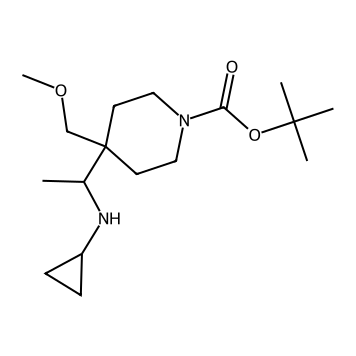 COCC1(C(C)NC2CC2)CCN(C(=O)OC(C)(C)C)CC1